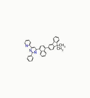 CC1(C)c2ccccc2-c2cc(-c3ccc(-c4cc(-c5ccccn5)nc(-c5ccccc5)n4)c4ccccc34)ccc21